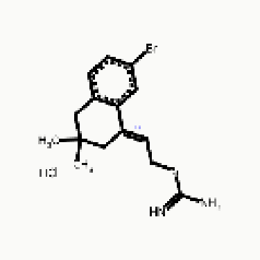 CC1(C)C/C(=C\CSC(=N)N)c2cc(Br)ccc2C1.Cl